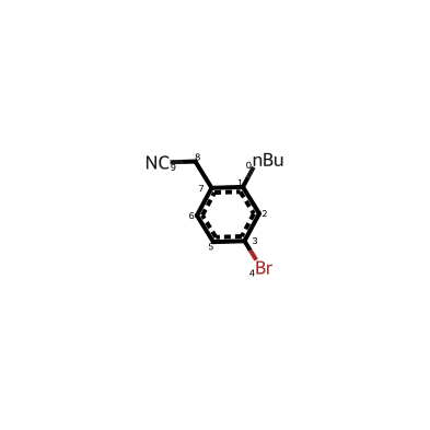 CCCCc1cc(Br)ccc1CC#N